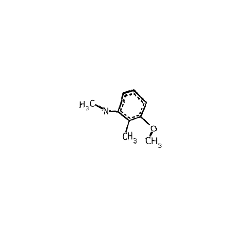 C[N]c1cccc(OC)c1C